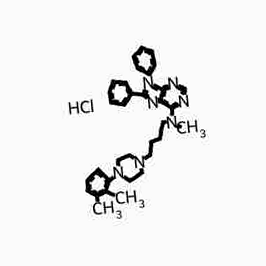 Cc1cccc(N2CCN(CCCCN(C)c3ncnc4c3nc(-c3ccccc3)n4-c3ccccc3)CC2)c1C.Cl